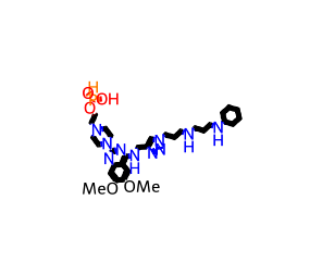 COc1cc2nc(N3CCN(CCO[PH](=O)O)CC3)nc(NCc3cn(CCCNCCCNC4CCCCC4)nn3)c2cc1OC